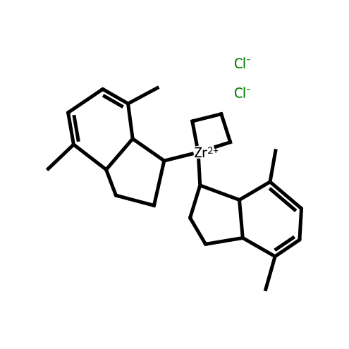 CC1=CC=C(C)C2C1CC[CH]2[Zr+2]1([CH]2CCC3C(C)=CC=C(C)C32)[CH2]C[CH2]1.[Cl-].[Cl-]